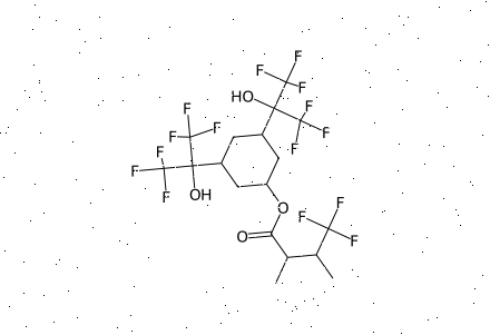 CC(C(=O)OC1CC(C(O)(C(F)(F)F)C(F)(F)F)CC(C(O)(C(F)(F)F)C(F)(F)F)C1)C(C)C(F)(F)F